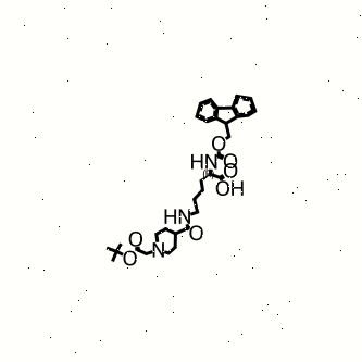 CC(C)(C)OC(=O)CN1CCC(C(=O)NCCCC[C@@H](NC(=O)OCC2c3ccccc3-c3ccccc32)C(=O)O)CC1